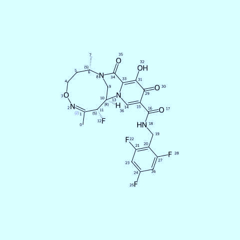 C/C1=N/OCC[C@H](C)N2C[C@H]([C@@H]1F)n1cc(C(=O)NCc3c(F)cc(F)cc3F)c(=O)c(O)c1C2=O